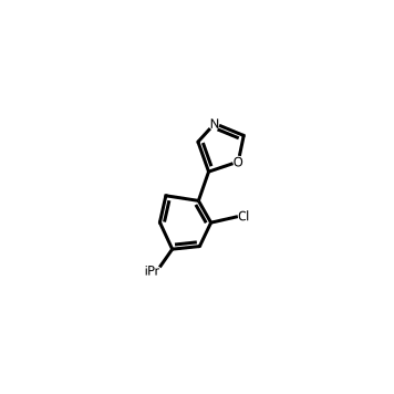 CC(C)c1ccc(-c2cnco2)c(Cl)c1